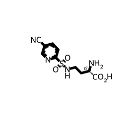 N#Cc1ccc(S(=O)(=O)NCC[C@H](N)C(=O)O)nc1